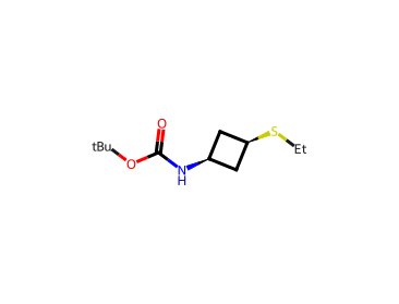 CCS[C@H]1C[C@@H](NC(=O)OC(C)(C)C)C1